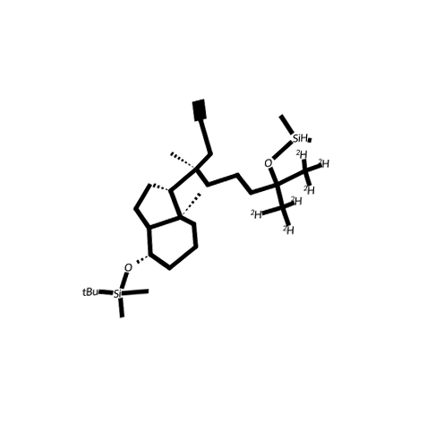 [2H]C([2H])([2H])C(CCC[C@](C)(CC#C)[C@H]1CCC2[C@@H](O[Si](C)(C)C(C)(C)C)CCC[C@@]21C)(O[SiH](C)C)C([2H])([2H])[2H]